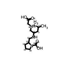 CC(C)CC(CNCC(=O)O)NCC1CCCN1C(=O)O